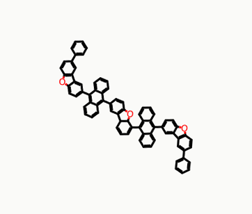 C1=CC2c3cc(-c4c5ccccc5c(-c5ccc6oc7ccc(-c8ccccc8)cc7c6c5)c5ccccc45)ccc3OC2C(c2c3ccccc3c(-c3ccc4oc5ccc(-c6ccccc6)cc5c4c3)c3ccccc23)=C1